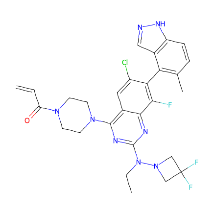 C=CC(=O)N1CCN(c2nc(N(CC)N3CC(F)(F)C3)nc3c(F)c(-c4c(C)ccc5[nH]ncc45)c(Cl)cc23)CC1